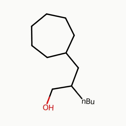 CCCCC(CO)CC1CCCCCC1